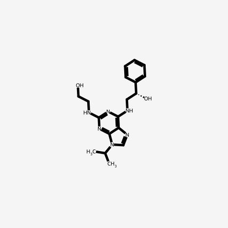 CC(C)n1cnc2c(NC[C@@H](O)c3ccccc3)nc(NCCO)nc21